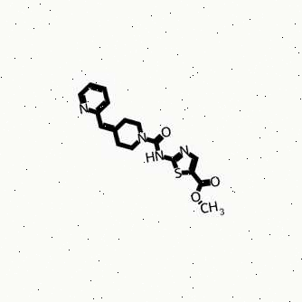 COC(=O)c1cnc(NC(=O)N2CCC(=Cc3ccccn3)CC2)s1